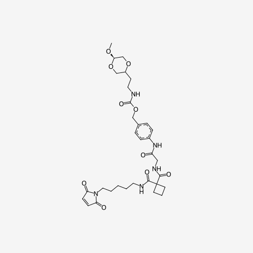 CO[C@H]1COC(CCNC(=O)OCc2ccc(NC(=O)CNC(=O)C3(C(=O)NCCCCCN4C(=O)C=CC4=O)CCC3)cc2)CO1